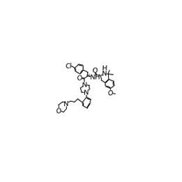 COc1ccc2c(c1)CC(C(=O)N[C@H](Cc1ccc(Cl)cc1)C(=O)N1CCN(c3ccccc3CCCN3CCOCC3)CC1)NC2(C)C